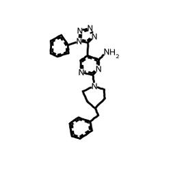 Nc1nc(N2CCC(Cc3ccccc3)CC2)ncc1-c1nnnn1-c1ccccc1